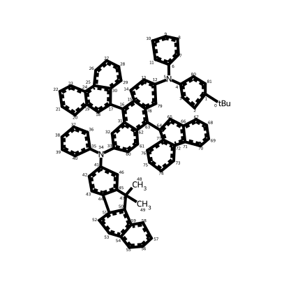 CC(C)(C)c1ccc(N(c2ccccc2)c2ccc3c(-c4cc5ccccc5c5ccccc45)c4cc(N(c5ccccc5)c5ccc6c(c5)C(C)(C)c5c-6ccc6ccccc56)ccc4c(-c4cc5ccccc5c5ccccc45)c3c2)cc1